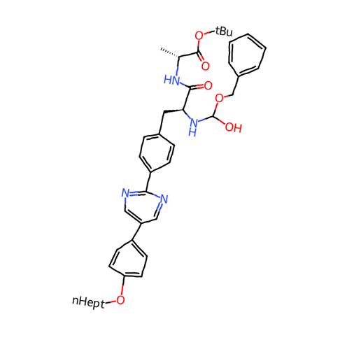 CCCCCCCOc1ccc(-c2cnc(-c3ccc(C[C@H](NC(O)OCc4ccccc4)C(=O)N[C@H](C)C(=O)OC(C)(C)C)cc3)nc2)cc1